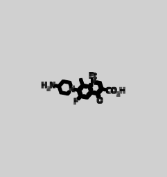 CCn1cc(C(=O)O)c(=O)c2cc(F)c(N3CCC(N)CC3)c(C)c21